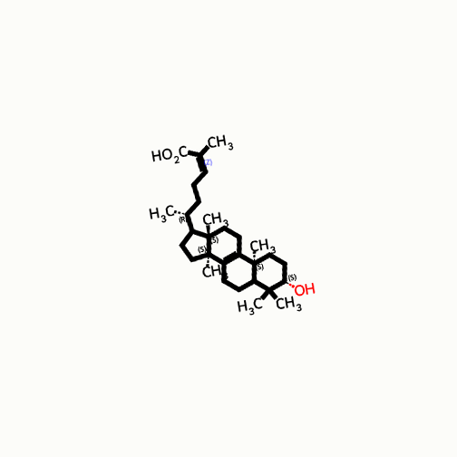 C/C(=C/CC[C@@H](C)C1CC[C@]2(C)C3=C(CC[C@@]12C)[C@@]1(C)CC[C@H](O)C(C)(C)C1CC3)C(=O)O